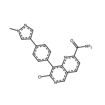 Cn1cc(-c2ccc(-c3c(Cl)ncc4ccc(C(N)=O)nc34)cc2)cn1